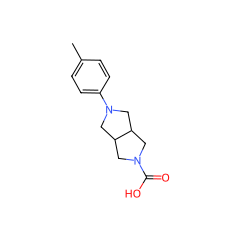 Cc1ccc(N2CC3CN(C(=O)O)CC3C2)cc1